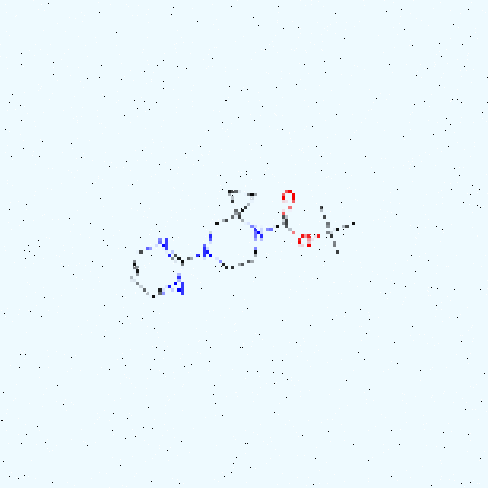 CC(C)(C)OC(=O)N1CCN(c2ncccn2)CC12CC2